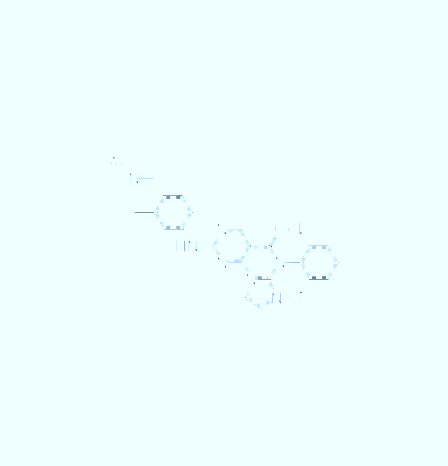 CC(=O)N1CCc2cc(Nc3ncc4c(=O)n(-c5c(Cl)cccc5Cl)c5nccn5c4n3)ccc2C1